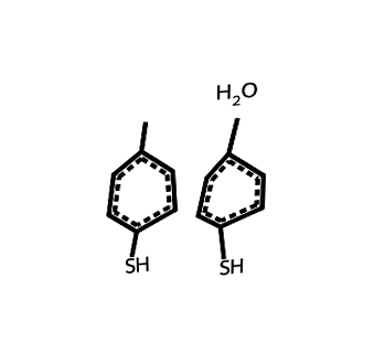 Cc1ccc(S)cc1.Cc1ccc(S)cc1.O